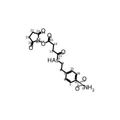 NS(=O)(=O)c1ccc(CC[AsH]C(=O)CCC(=O)ON2C(=O)CCC2=O)cc1